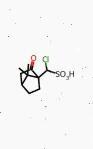 CC1(C)C2CCC1(C(Cl)S(=O)(=O)O)C(=O)C2